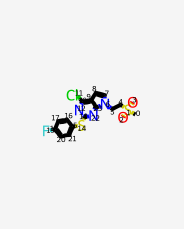 CS(=O)(=O)CCn1ccc2c(Cl)nc(Sc3ccc(F)cc3)nc21